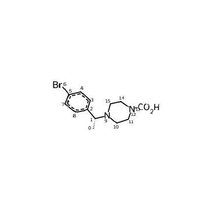 C[C@H](c1ccc(Br)cc1)N1CCN(C(=O)O)CC1